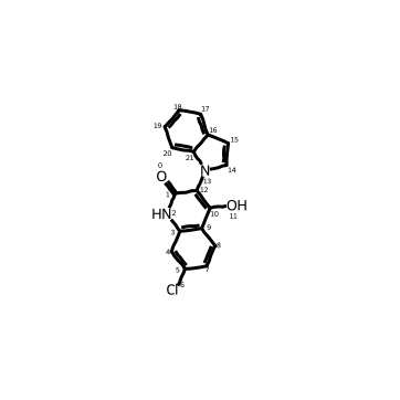 O=c1[nH]c2cc(Cl)ccc2c(O)c1-n1ccc2ccccc21